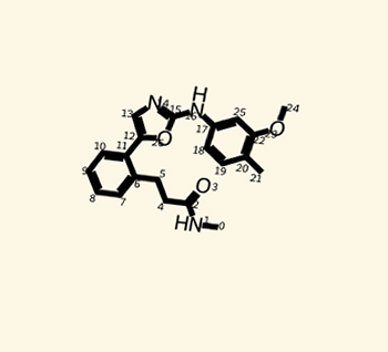 CNC(=O)CCc1ccccc1-c1cnc(Nc2ccc(C)c(OC)c2)o1